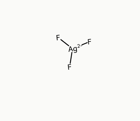 [F][Ag-2]([F])[F]